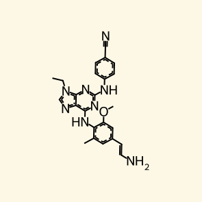 CCn1cnc2c(Nc3c(C)cc(/C=C/N)cc3OC)nc(Nc3ccc(C#N)cc3)nc21